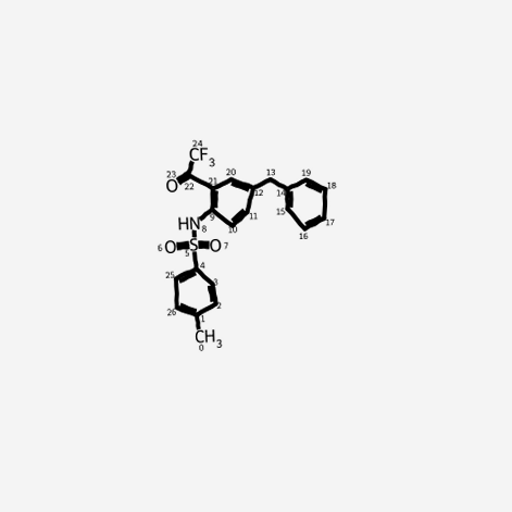 Cc1ccc(S(=O)(=O)Nc2ccc(Cc3ccccc3)cc2C(=O)C(F)(F)F)cc1